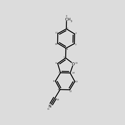 Cc1ccc(-c2cc3cc(C#N)ccc3o2)cc1